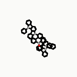 c1ccc(-c2cc(Cc3ccc(-n4c5ccccc5c5c4ccc4c6ccccc6n(-c6ccccc6)c45)c(-c4ccccc4-n4c5ccccc5c5c4ccc4c6ccccc6n(-c6ccccc6)c45)c3)nc(-c3ccccc3)n2)cc1